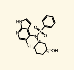 Nc1cnc2[nH]ccc2c1N([C@@H]1CCC[C@@H](O)C1)S(=O)(=O)c1ccccc1